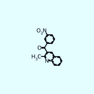 Cc1nc2ccccc2cc1C(=O)c1cccc([N+](=O)[O-])c1